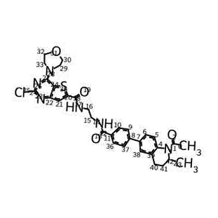 CC(=O)N1c2ccc(-c3ccc(C(=O)NCCNC(=O)c4cc5nc(Cl)nc(N6CCOCC6)c5s4)cc3)cc2CC[C@@H]1C